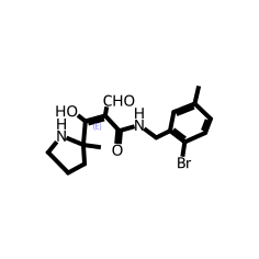 Cc1ccc(Br)c(CNC(=O)/C(C=O)=C(/O)C2(C)CCCN2)c1